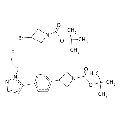 CC(C)(C)OC(=O)N1CC(Br)C1.CC(C)(C)OC(=O)N1CC(c2ccc(-c3ccnn3CCF)cc2)C1